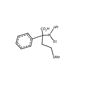 CCCN(CC)C(CCSC)(C(=O)O)c1ccccc1